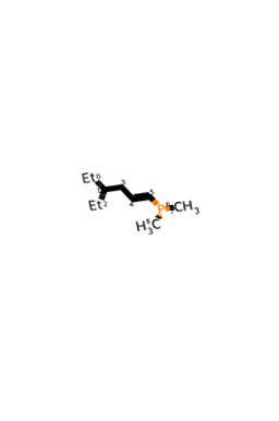 CCC(CC)CC=CP(C)C